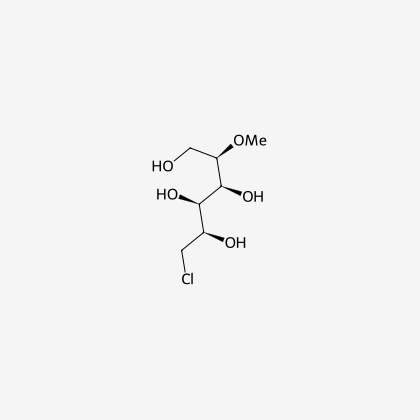 CO[C@H](CO)[C@@H](O)[C@H](O)[C@@H](O)CCl